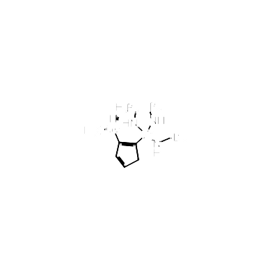 CCC(C)[NH][Zr]([NH]C(C)CC)([NH]C(C)CC)[C]1=[C]([GeH]([CH3])[CH3])C=CC1